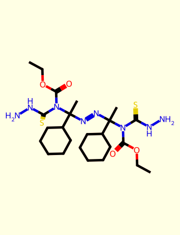 CCOC(=O)N(C(=S)NN)C(C)(/N=N/C(C)(C1CCCCC1)N(C(=O)OCC)C(=S)NN)C1CCCCC1